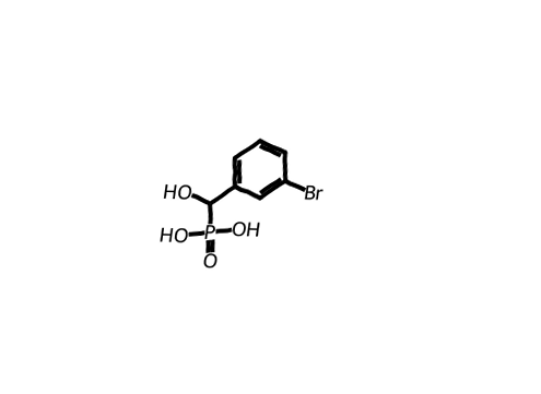 O=P(O)(O)C(O)c1cccc(Br)c1